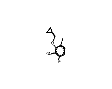 Cc1ccc(C(C)C)c(N=O)c1OCC1CC1